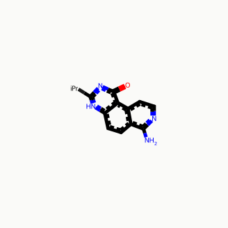 CC(C)c1nc(=O)c2c(ccc3c(N)nccc32)[nH]1